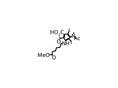 COC(=O)CCCCC(=O)Nc1c(I)c(C(=O)O)c(I)c(N(C)C(C)=O)c1I